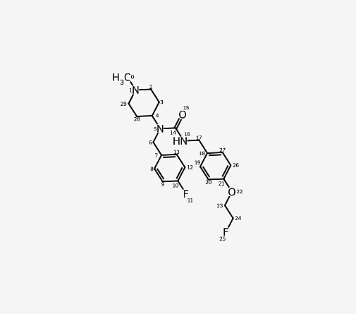 CN1CCC(N(Cc2ccc(F)cc2)C(=O)NCc2ccc(OCCF)cc2)CC1